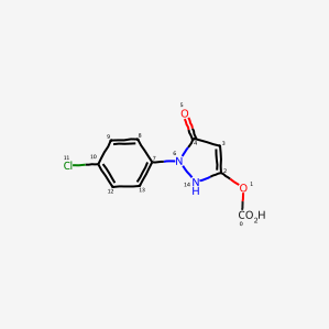 O=C(O)Oc1cc(=O)n(-c2ccc(Cl)cc2)[nH]1